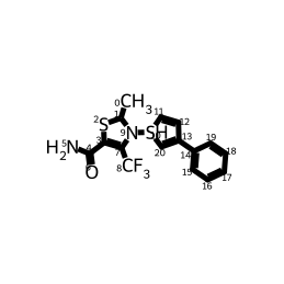 CC1SC(C(N)=O)=C(C(F)(F)F)N1[SH]1C=CC(c2ccccc2)=C1